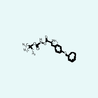 CC(C)(C)OC(=O)NOC(=O)[C@@H](N)Cc1ccc(OCc2ccccc2)cc1